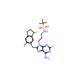 CC(C)(C)S(=O)(=O)NCCCn1c(Cc2cc3c(cc2I)CCC3F)nc2c(N)nc(F)nc21